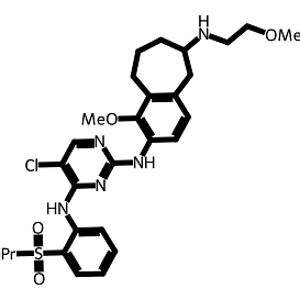 COCCNC1CCCc2c(ccc(Nc3ncc(Cl)c(Nc4ccccc4S(=O)(=O)C(C)C)n3)c2OC)C1